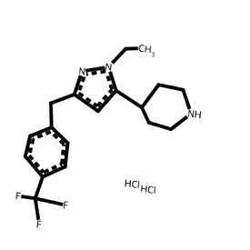 CCn1nc(Cc2ccc(C(F)(F)F)cc2)cc1C1CCNCC1.Cl.Cl